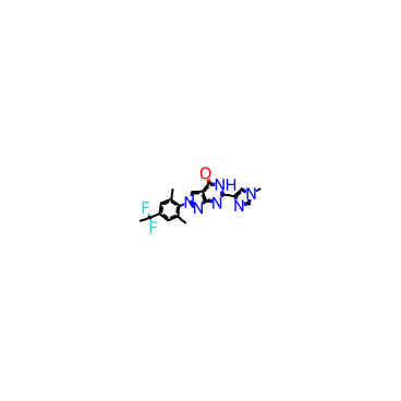 Cc1cc(C(C)(F)F)cc(C)c1-n1cc2c(=O)[nH]c(-c3cn(C)cn3)nc2n1